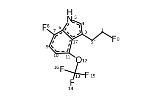 FC[CH]c1c[nH]c2c(F)ccc(OC(F)(F)F)c12